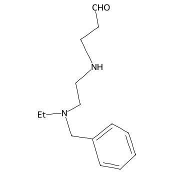 CCN(CCNCCC=O)Cc1ccccc1